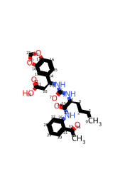 CCCC[C@H](NC(=O)N[C@@H](CC(=O)O)c1ccc2c(c1)OCO2)C(=O)Nc1ccccc1C(C)=O